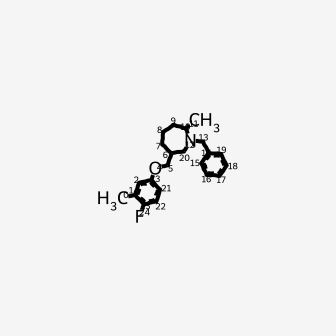 Cc1cc(OCC2CCCC(C)N(Cc3ccccc3)C2)ccc1F